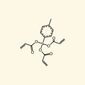 C=CC(=O)O[Si](OC(=O)C=C)(OC(=O)C=C)c1ccc(C)cc1